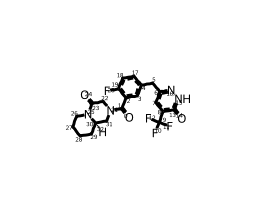 O=C(c1cc(Cc2cc(C(F)(F)F)c(=O)[nH]n2)ccc1F)N1CC(=O)N2CCCC[C@@H]2C1